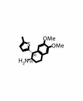 COc1cc2c(cc1OC)[C@@H](c1ccc(C)s1)[C@H](N)CC2